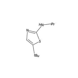 CC(C)Nc1ncc(C(C)(C)C)s1